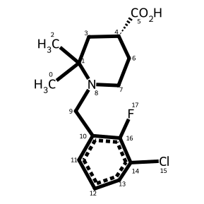 CC1(C)C[C@H](C(=O)O)CCN1Cc1cccc(Cl)c1F